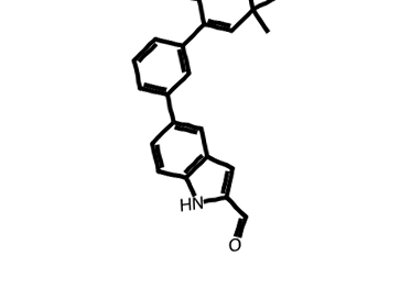 CC1(C)C=C(c2cccc(-c3ccc4[nH]c(C=O)cc4c3)c2)C(=O)CC1